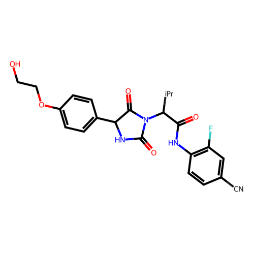 CC(C)C(C(=O)Nc1ccc(C#N)cc1F)N1C(=O)NC(c2ccc(OCCO)cc2)C1=O